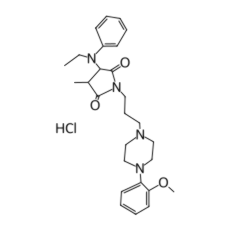 CCN(c1ccccc1)C1C(=O)N(CCCN2CCN(c3ccccc3OC)CC2)C(=O)C1C.Cl